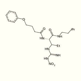 CCC(NC(=N)N[N+](=O)[O-])[C@H](NC(=O)CCCOc1ccccc1)C(=O)NCCC(C)C